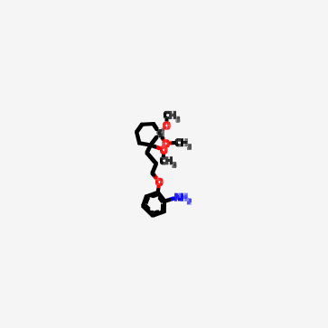 COC1(CCCOc2ccccc2N)CCCC[Si]1(OC)OC